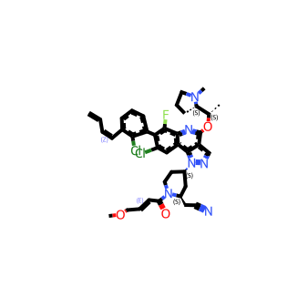 C=C/C=C\c1cccc(-c2c(Cl)cc3c(nc(O[C@@H](C)[C@@H]4CCCN4C)c4cnn([C@H]5CCN(C(=O)/C=C/COC)[C@H](CC#N)C5)c43)c2F)c1Cl